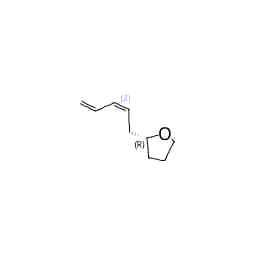 C=C/C=C\C[C@H]1CCCO1